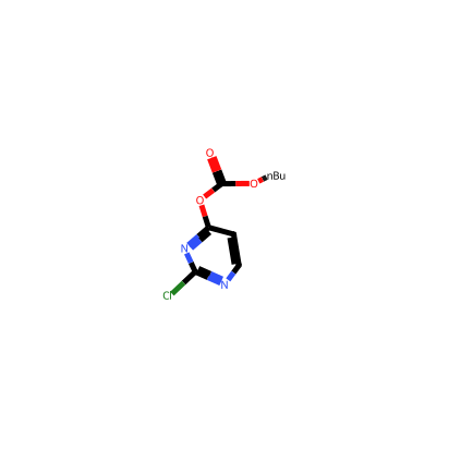 CCCCOC(=O)Oc1ccnc(Cl)n1